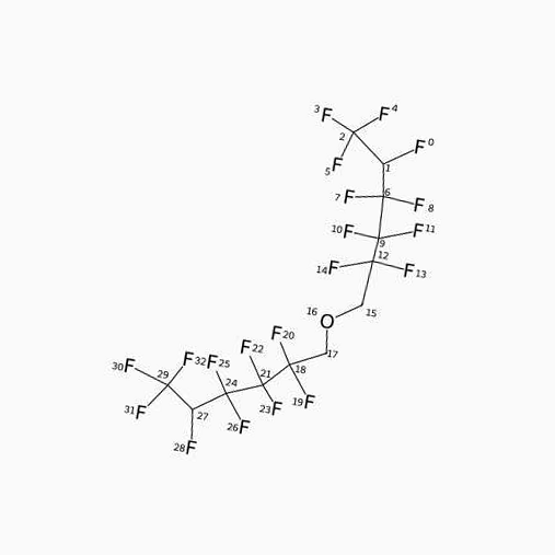 FC(C(F)(F)F)C(F)(F)C(F)(F)C(F)(F)COCC(F)(F)C(F)(F)C(F)(F)C(F)C(F)(F)F